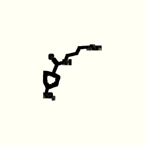 CCCCCCCCCCCCNC(=O)c1ccc([N+](=O)[O-])cc1